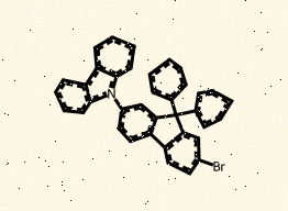 Brc1ccc2c(c1)C(c1ccccc1)(c1ccccc1)c1cc(-n3c4ccccc4c4ccccc43)ccc1-2